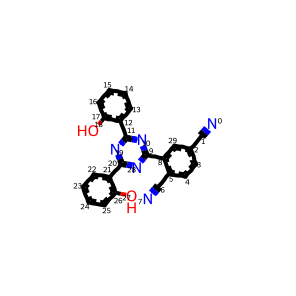 N#Cc1ccc(C#N)c(-c2nc(-c3ccccc3O)nc(-c3ccccc3O)n2)c1